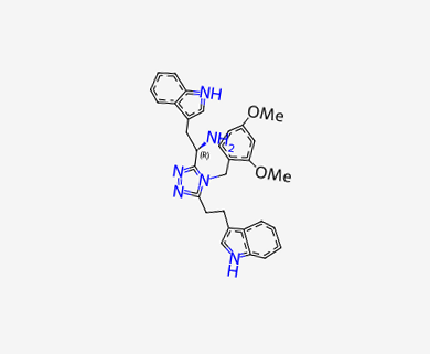 COc1ccc(Cn2c(CCc3c[nH]c4ccccc34)nnc2[C@H](N)Cc2c[nH]c3ccccc23)c(OC)c1